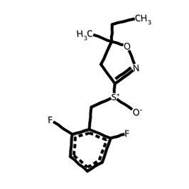 CCC1(C)CC([S+]([O-])Cc2c(F)cccc2F)=NO1